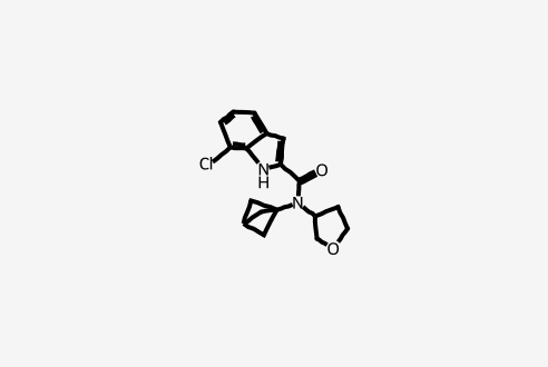 O=C(c1cc2cccc(Cl)c2[nH]1)N(C1CCOC1)C12CC(C1)C2